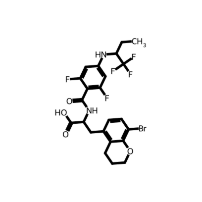 CCC(Nc1cc(F)c(C(=O)NC(Cc2ccc(Br)c3c2CCCO3)C(=O)O)c(F)c1)C(F)(F)F